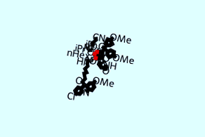 CCCCCCN(NCCCCCC(=O)c1c2ccc(Cl)cc2nc2ccc(OC)cc12)O[C@@H]1[C@H](OP(OCCC#N)N(C(C)C)C(C)C)[C@@H](COC(c2ccccc2)(c2ccc(OC)cc2)c2ccc(OC)cc2)O[C@H]1n1ccc(=O)[nH]c1=O